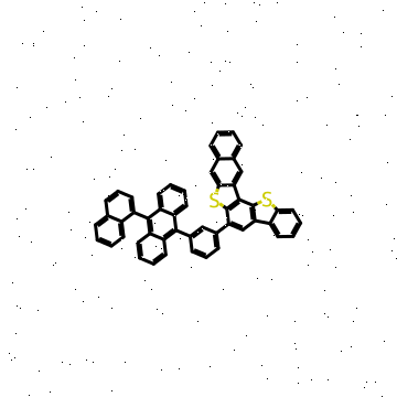 c1cc(-c2c3ccccc3c(-c3cccc4ccccc34)c3ccccc23)cc(-c2cc3c4ccccc4sc3c3c2sc2cc4ccccc4cc23)c1